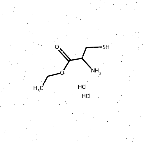 CCOC(=O)C(N)CS.Cl.Cl